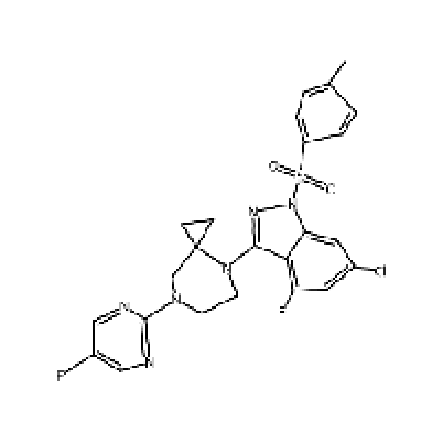 Cc1ccc(S(=O)(=O)n2nc(N3CCN(c4ncc(F)cn4)CC34CC4)c3c(F)cc(Cl)cc32)cc1